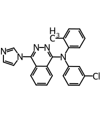 Cc1ccccc1N(c1cccc(Cl)c1)c1nnc(-n2ccnc2)c2ccccc12